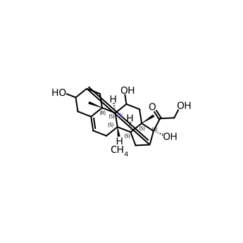 C.C[C@]12C/C3=C4\C[C@H]5[C@H](CC=C1CC3O)[C@@H]2C(O)C[C@]5(C)[C@@]4(O)C(=O)CO